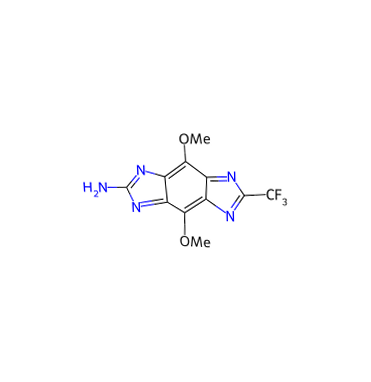 COc1c2c(c(OC)c3c1=NC(N)=N3)=NC(C(F)(F)F)=N2